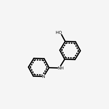 Oc1cccc(Nc2ccccn2)c1